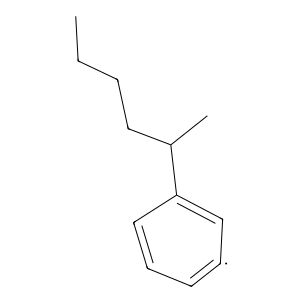 CCCCC(C)c1c[c]ccc1